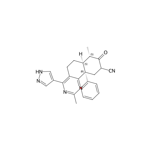 Cc1nc(-c2cn[nH]c2)c2c(n1)[C@]1(c3ccccc3)CC(C#N)C(=O)[C@@H](C)[C@@H]1CC2